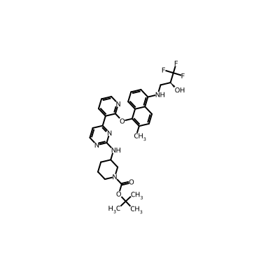 Cc1ccc2c(NC[C@H](O)C(F)(F)F)cccc2c1Oc1ncccc1-c1ccnc(NC2CCCN(C(=O)OC(C)(C)C)C2)n1